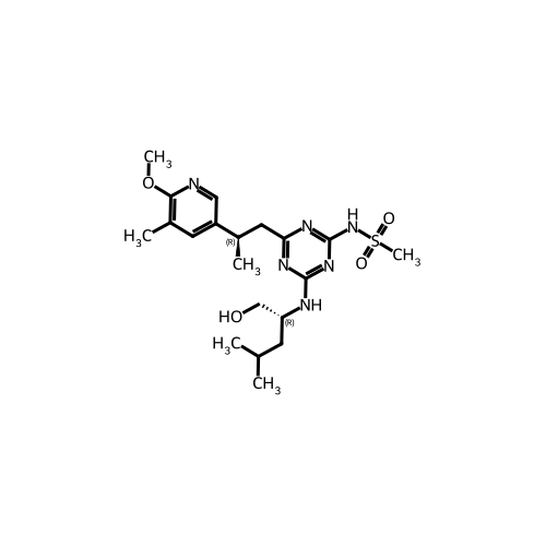 COc1ncc([C@H](C)Cc2nc(N[C@@H](CO)CC(C)C)nc(NS(C)(=O)=O)n2)cc1C